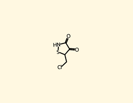 O=C1NSC(CCl)C1=O